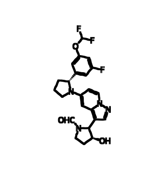 O=CN1CC[C@H](O)C1c1cnn2ccc(N3CCC[C@@H]3c3cc(F)cc(OC(F)F)c3)cc12